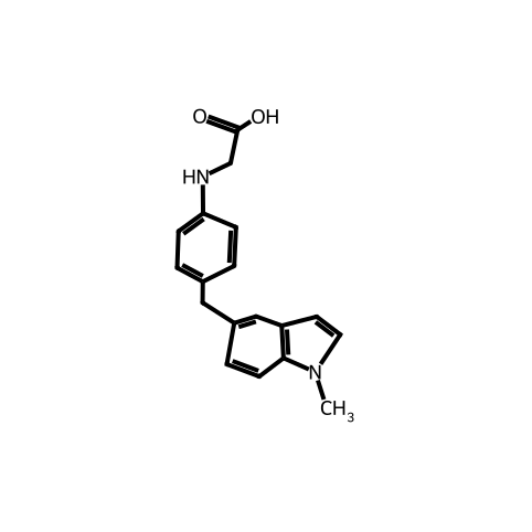 Cn1ccc2cc(Cc3ccc(NCC(=O)O)cc3)ccc21